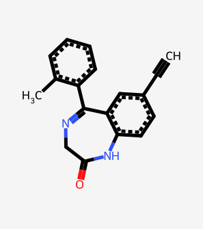 C#Cc1ccc2c(c1)C(c1ccccc1C)=NCC(=O)N2